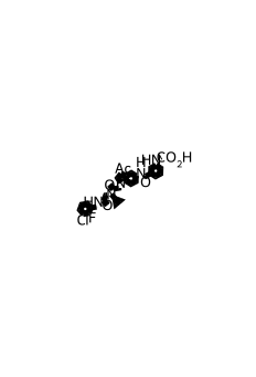 CC(=O)c1cn(CC(=O)N(CC(=O)NCc2cccc(Cl)c2F)C2CC2)c2ccc(NC(=O)c3cccc(NC(=O)O)c3)cc12